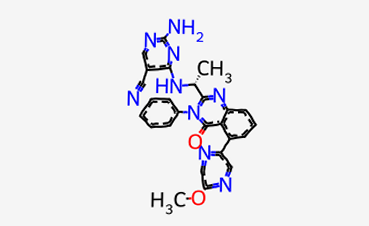 COc1cnc(-c2cccc3nc([C@@H](C)Nc4nc(N)ncc4C#N)n(-c4ccccc4)c(=O)c23)cn1